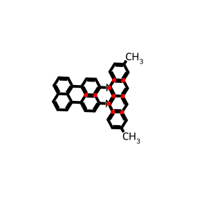 Cc1ccc(N(c2ccccc2)c2ccc(-c3cccc4cccc(-c5ccc(N(c6ccccc6)c6ccc(C)cc6)cc5)c34)cc2)cc1